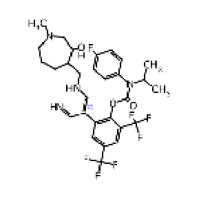 CC(C)N(C(=O)Oc1c(/C(C=N)=C/NCC2CCCN(C)CC2O)cc(C(F)(F)F)cc1C(F)(F)F)c1ccc(F)cc1